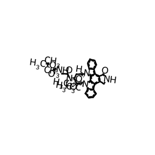 CO[C@@H]1[C@H](N(C)C(=O)CNC(=O)OC(C)(C)C)C[C@H]2O[C@]1(C)n1c3ccccc3c3c4c(c5c6ccccc6n2c5c31)C(=O)NC4